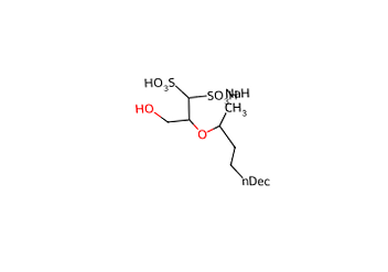 CCCCCCCCCCCCC(C)OC(CO)C(S(=O)(=O)O)S(=O)(=O)O.[NaH]